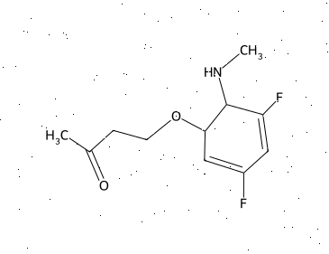 CNC1C(F)=CC(F)=CC1OCCC(C)=O